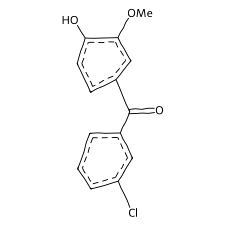 COc1cc(C(=O)c2cccc(Cl)c2)ccc1O